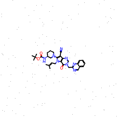 CC(C)=CCn1c(N2CCC[C@H](NC(=O)OC(C)(C)C)C2)c(C#N)c2ncn(Cc3ncc4ccccc4n3)c(=O)c21